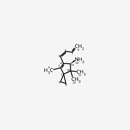 C=C/C=C\C1=C(C)C2(CC2)C(C)(C)[C@@H]1N